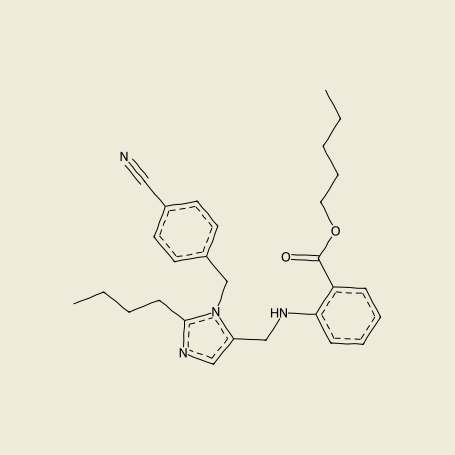 CCCCCOC(=O)c1ccccc1NCc1cnc(CCCC)n1Cc1ccc(C#N)cc1